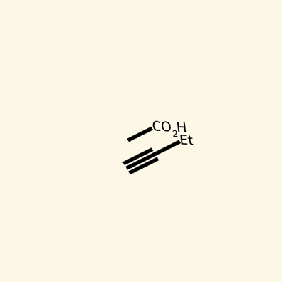 C#CCC.CC(=O)O